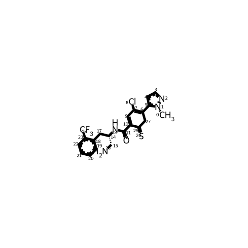 Cn1nccc1C1=C(Cl)C=C(C(=O)N[C@H](CN)Cc2ccccc2C(F)(F)F)C(=S)C1